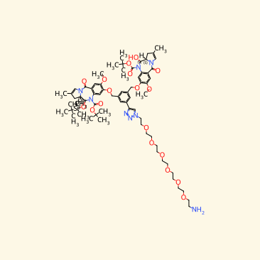 COc1cc2c(cc1OCc1cc(COc3cc4c(cc3OC)C(=O)N3C=C(C)C[C@H]3[C@H](O[Si](C)(C)C(C)(C)C)N4C(=O)OC(C)(C)C)cc(-c3cn(CCOCCOCCOCCOCCOCCOCCN)nn3)c1)N(C(=O)OC(C)(C)C)[C@@H](O)[C@@H]1CC(C)=CN1C2=O